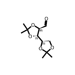 CC1(C)O[C@@H]([C@@H]2COC(C)(C)O2)[C@H](C=O)O1